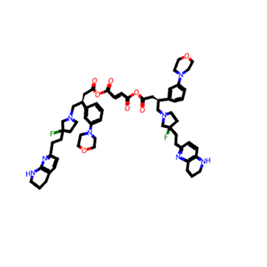 O=C(/C=C/C(=O)OC(=O)C[C@H](CN1CCC(F)(CCc2ccc3c(n2)NCCC3)C1)c1cccc(N2CCOCC2)c1)OC(=O)C[C@H](CN1CCC(F)(CCc2ccc3c(n2)CCCN3)C1)c1cccc(N2CCOCC2)c1